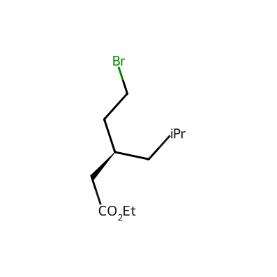 CCOC(=O)C[C@@H](CCBr)CC(C)C